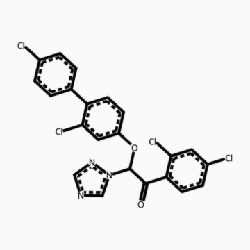 O=C(c1ccc(Cl)cc1Cl)C(Oc1ccc(-c2ccc(Cl)cc2)c(Cl)c1)n1cncn1